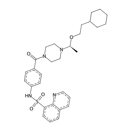 C[C@H](OCCC1CCCCC1)N1CCN(C(=O)c2ccc(NS(=O)(=O)c3cccc4cccnc34)cc2)CC1